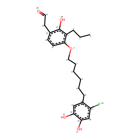 CCCc1c(OCCCCCCc2cc(O)c(O)cc2F)ccc(CC=O)c1O